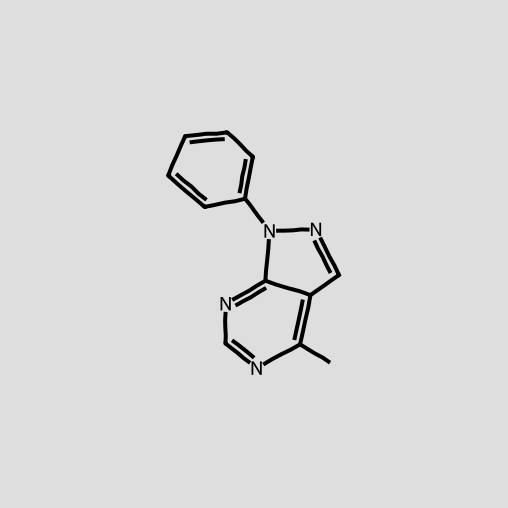 Cc1ncnc2c1cnn2-c1ccccc1